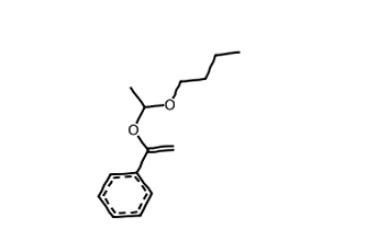 C=C(OC(C)OCCCC)c1ccccc1